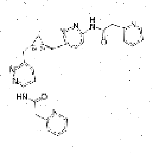 O=C(Cc1ccccn1)Nc1ccc(C[C@@H]2C[C@H]2Cc2ccc(NC(=O)Cc3ccccn3)nn2)nn1